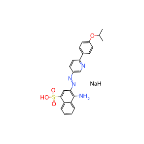 CC(C)Oc1ccc(-c2ccc(/N=N/c3cc(S(=O)(=O)O)c4ccccc4c3N)cn2)cc1.[NaH]